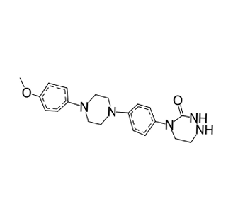 COc1ccc(N2CCN(c3ccc(N4CCNNC4=O)cc3)CC2)cc1